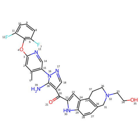 Cc1cc(Oc2c(F)cccc2F)ncc1-n1ncc(C(=O)c2cc3c4c(ccc3[nH]2)CN(CCO)CC4)c1N